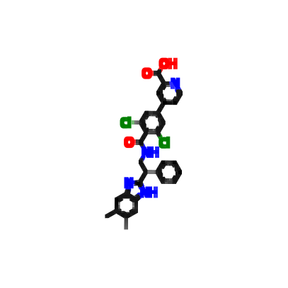 Cc1cc2nc(C(CNC(=O)c3c(Cl)cc(-c4ccnc(C(=O)O)c4)cc3Cl)c3ccccc3)[nH]c2cc1C